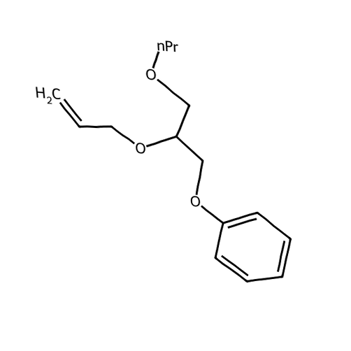 C=CCOC(COCCC)COc1ccccc1